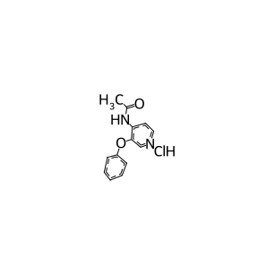 CC(=O)Nc1ccncc1Oc1ccccc1.Cl